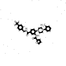 Cc1ccccc1N1CCN(c2ccc(C(=O)NCc3ccc(C(F)(F)F)cc3)cc2NC(=O)c2ccco2)CC1